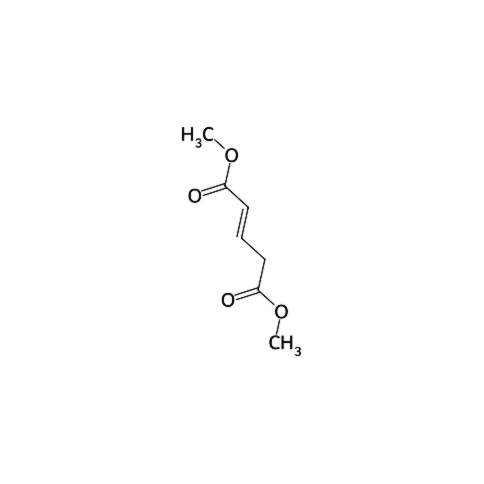 COC(=O)/C=C/CC(=O)OC